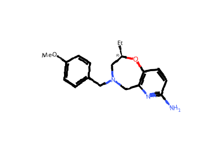 CC[C@@H]1CN(Cc2ccc(OC)cc2)Cc2nc(N)ccc2O1